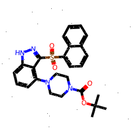 CC(C)(C)OC(=O)N1CCN(c2cccc3[nH]nc(S(=O)(=O)c4cccc5ccccc45)c23)CC1